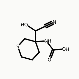 N#CC(O)C1(NC(=O)O)CCCSC1